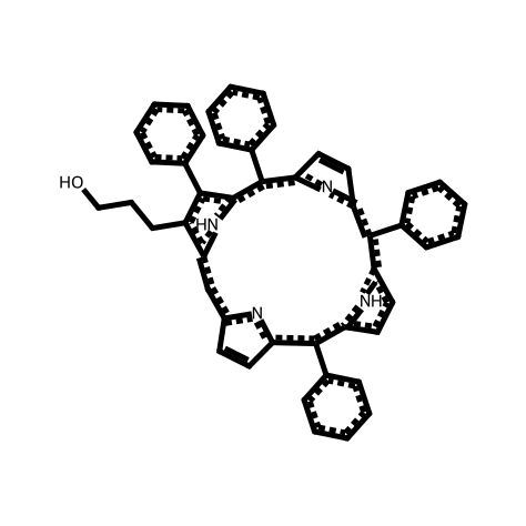 OCCCc1c(-c2ccccc2)c2[nH]c1cc1nc(c(-c3ccccc3)c3ccc([nH]3)c(-c3ccccc3)c3nc(c2-c2ccccc2)C=C3)C=C1